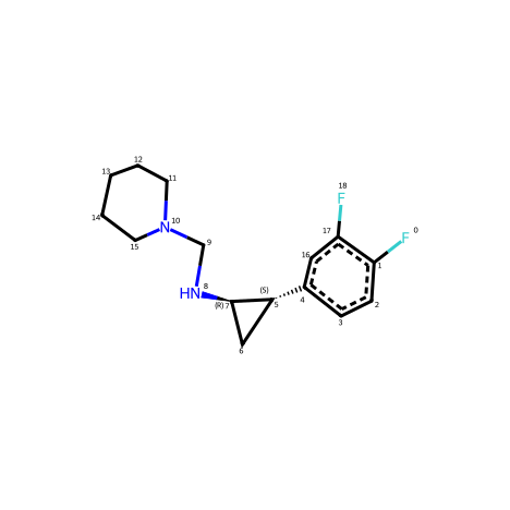 Fc1ccc([C@@H]2C[C@H]2NCN2CCCCC2)cc1F